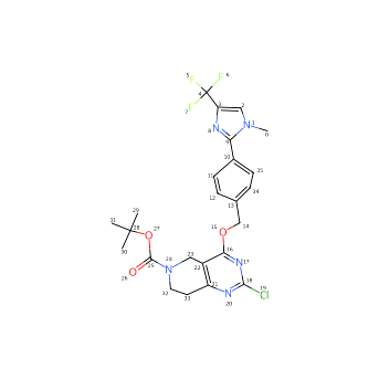 Cn1cc(C(F)(F)F)nc1-c1ccc(COc2nc(Cl)nc3c2CN(C(=O)OC(C)(C)C)CC3)cc1